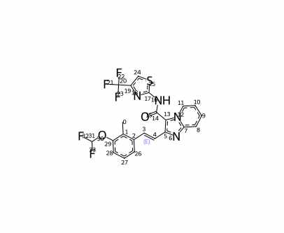 Cc1c(/C=C/c2nc3ccccn3c2C(=O)Nc2nc(C(F)(F)F)cs2)cccc1OC(F)F